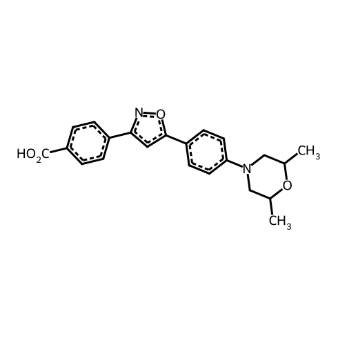 CC1CN(c2ccc(-c3cc(-c4ccc(C(=O)O)cc4)no3)cc2)CC(C)O1